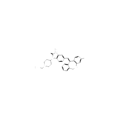 CCN1CCC(n2c(=O)[nH]c3cc(/C=C4\c5ccccc5COc5cc(F)ccc54)ccc32)CC1